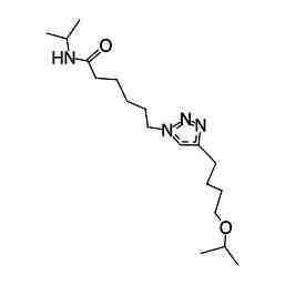 CC(C)NC(=O)CCCCCn1cc(CCCCOC(C)C)nn1